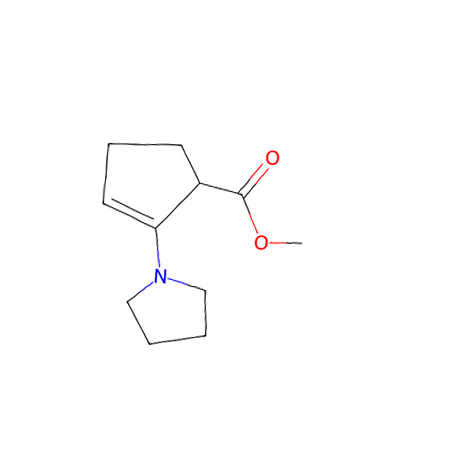 COC(=O)C1CCC=C1N1CCCC1